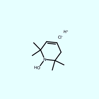 CC1(C)C=CCC(C)(C)N1O.[Cl-].[H+]